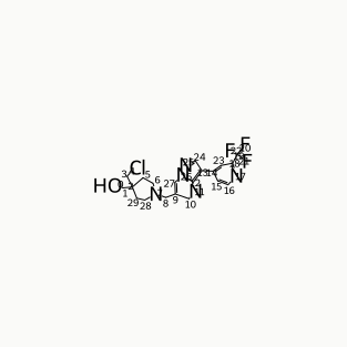 OCC1(CCl)CCN(Cc2cnc3c(-c4ccnc(C(F)(F)F)c4)cnn3c2)CC1